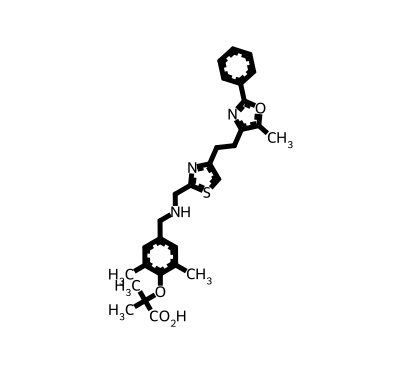 Cc1cc(CNCc2nc(CCc3nc(-c4ccccc4)oc3C)cs2)cc(C)c1OC(C)(C)C(=O)O